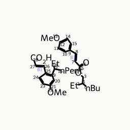 CCCCC(CC)COC(=O)/C=C/c1ccc(OC)cc1.CCCCCC(CC)c1cc(OC)ccc1/C=C/C(=O)O